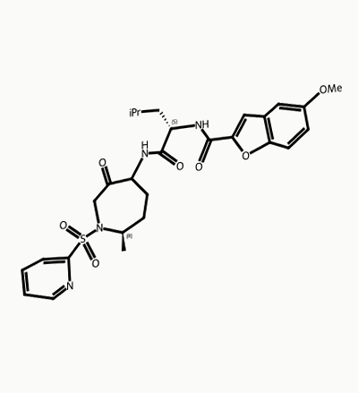 COc1ccc2oc(C(=O)N[C@@H](CC(C)C)C(=O)NC3CC[C@@H](C)N(S(=O)(=O)c4ccccn4)CC3=O)cc2c1